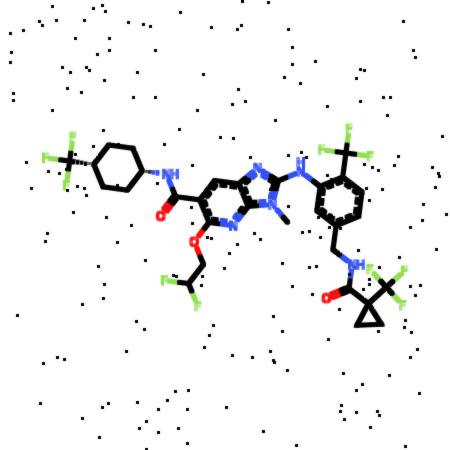 Cn1c(Nc2cc(CNC(=O)C3(C(F)(F)F)CC3)ccc2C(F)(F)F)nc2cc(C(=O)N[C@H]3CC[C@@H](C(F)(F)F)CC3)c(OCC(F)F)nc21